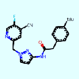 CC(C)(C)c1ccc(CC(=O)Nc2ccn(Cc3cc(C#N)c(F)cn3)n2)cc1